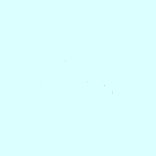 CN(C)CCSC1=Cc2ccccc2Sc2ccc(Cl)cc21